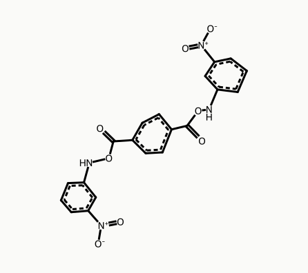 O=C(ONc1cccc([N+](=O)[O-])c1)c1ccc(C(=O)ONc2cccc([N+](=O)[O-])c2)cc1